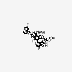 CNc1nc(OC[C@@]23CCCN2CC(F)C3)nc2c(F)c(-c3ncc(F)c4sc(NC(=O)OC(C)(C)C)c(C#N)c34)c3c(c12)COC3